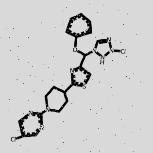 Clc1cnc(N2CCC(c3nc(C(Oc4ccccc4)N4C=NN(Cl)N4)cs3)CC2)nc1